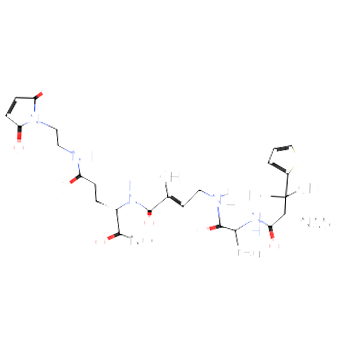 CN[C@H](C(=O)NC(C(=O)N(C)C/C=C(\C)C(=O)N[C@H](CCC(=O)NCCN1C(=O)C=CC1=O)C(=O)N=O)C(C)(C)C)C(C)(C)c1cccs1